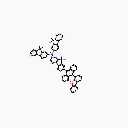 CC1(C)c2ccccc2-c2ccc(N(c3ccc4c(c3)C(C)(C)c3ccccc3-4)c3ccc4c(c3)C(C)(C)c3cc(-c5c6ccccc6c(-c6cccc7c6oc6ccccc67)c6ccccc56)ccc3-4)cc21